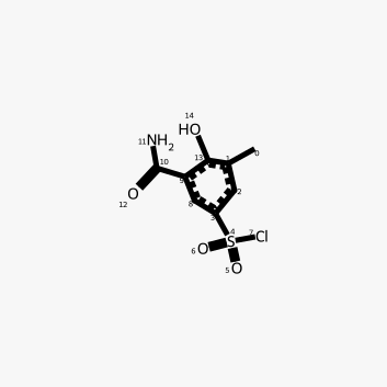 Cc1cc(S(=O)(=O)Cl)cc(C(N)=O)c1O